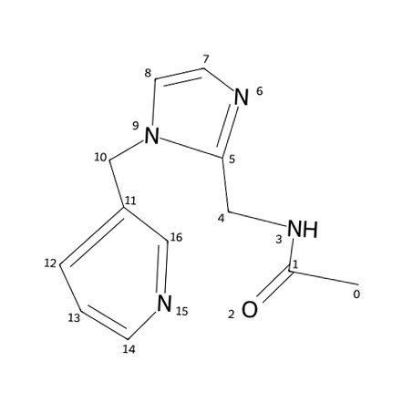 CC(=O)NCc1nccn1Cc1cccnc1